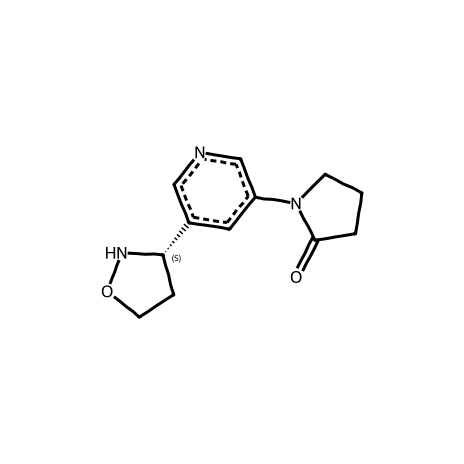 O=C1CCCN1c1cncc([C@@H]2CCON2)c1